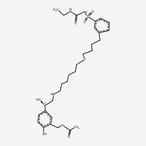 CCNC(=O)NS(=O)(=O)c1cccc(CCCCOCCCCCCNC[C@H](O)c2ccc(O)c(COC(C)=O)c2)c1